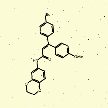 COc1ccc(/C(=C\C(=O)Nc2ccc3c(c2)OCCO3)c2ccc(C(C)(C)C)cc2)cn1